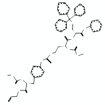 C=CCOC(=O)[C@H](Cc1ccc(OC(=O)NCC[C@H](NC(=O)OC(C)(C)C)C(=O)N[C@@H](CSC(c2ccccc2)(c2ccccc2)c2ccccc2)C(=O)Nc2ccccc2)cc1)NC(=O)OC(C)(C)C